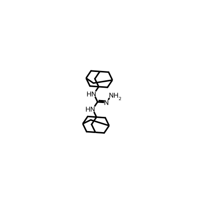 NN=C(NC12CC3CC(CC(C3)C1)C2)NC12CC3CC(CC(C3)C1)C2